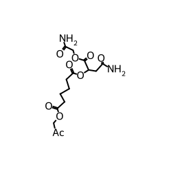 CC(=O)COC(=O)CCCCC(=O)OC(CC(N)=O)C(=O)OCC(N)=O